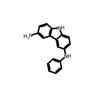 Nc1ccc2[nH]c3ccc(Nc4ccccc4)cc3c2c1